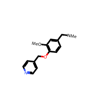 CNCc1ccc(OCc2ccncc2)c(OC)c1